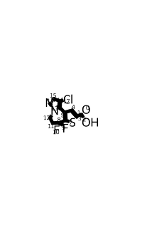 O=C(O)c1cc2c(s1)C(F)(F)CCn1ncc(Cl)c1-2